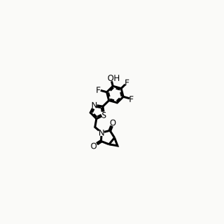 O=C1C2CC2C(=O)N1Cc1cnc(-c2cc(F)c(F)c(O)c2F)s1